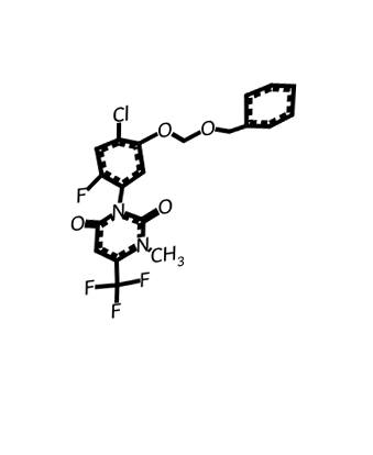 Cn1c(C(F)(F)F)cc(=O)n(-c2cc(OCOCc3ccccc3)c(Cl)cc2F)c1=O